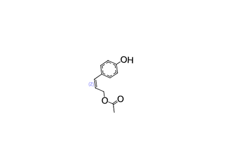 CC(=O)OC/C=C\c1ccc(O)cc1